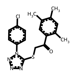 Cc1cc(C)c(C(=O)CSc2nnnn2-c2ccc(Cl)cc2)cc1C